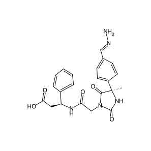 C[C@]1(c2ccc(C=NN)cc2)NC(=O)N(CC(=O)N[C@@H](CC(=O)O)c2ccccc2)C1=O